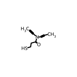 CC#CN(C#CC)C(=O)CCS